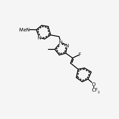 CNc1ccc(Cn2nc(/C(F)=C/c3ccc(OC(F)(F)F)cc3)cc2C)cn1